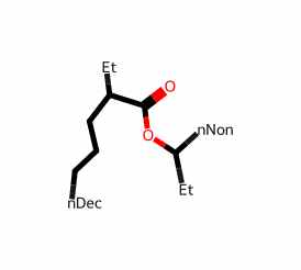 CCCCCCCCCCCCCC(CC)C(=O)OC(CC)CCCCCCCCC